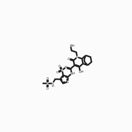 CC(C)(C)CCN1C(=O)C(C2=NS(=O)(=O)c3c(CNS(C)(=O)=O)csc3N2)=C(O)C2C3CCC(CC3)C21